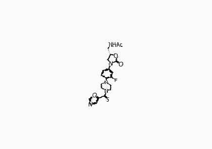 CC(=O)NC[C@H]1CN(c2ccc(N3CCN(C(=S)c4cnco4)CC3)c(F)c2)C(=O)O1